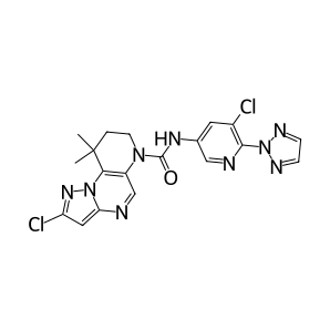 CC1(C)CCN(C(=O)Nc2cnc(-n3nccn3)c(Cl)c2)c2cnc3cc(Cl)nn3c21